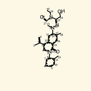 C=C(C)c1cn(-c2ccccc2C)c(=O)c2cc(C)c(N(C)/N=C(/CO)N(C=O)CC)cc12